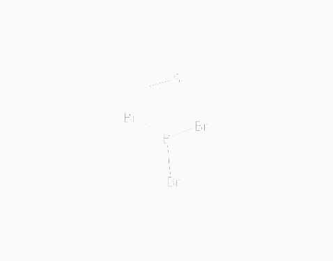 BrB(Br)Br.CSC